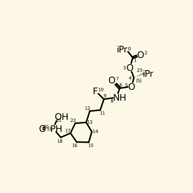 CC(C)C(=O)O[C@@H](OC(=O)NC(F)CCC1CCCC(C[PH](=O)O)C1)C(C)C